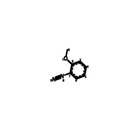 COc1ccccc1[N+]#N